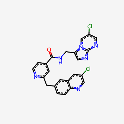 O=C(NCc1cnc2ncc(Cl)cn12)c1ccnc(Cc2ccc3ncc(Cl)cc3c2)c1